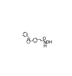 O=C(C=Cc1ccc(C2CCCN2Cc2ccccc2)cc1)NO